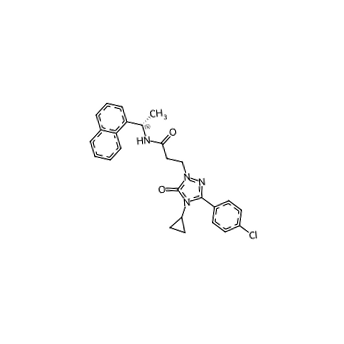 C[C@H](NC(=O)CCn1nc(-c2ccc(Cl)cc2)n(C2CC2)c1=O)c1cccc2ccccc12